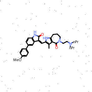 CCCN(CCC)CCN1CCCc2[nH]c(/C=C3\C(=O)Nc4ccc(-c5ccc(OC)cc5)cc43)c(C)c2C1=O